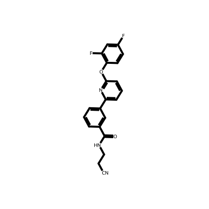 N#CCCNC(=O)c1cccc(-c2cccc(Oc3ccc(F)cc3F)n2)c1